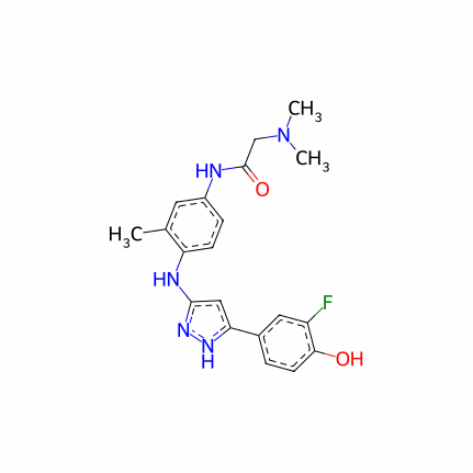 Cc1cc(NC(=O)CN(C)C)ccc1Nc1cc(-c2ccc(O)c(F)c2)[nH]n1